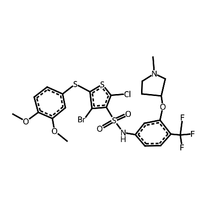 COc1ccc(Sc2sc(Cl)c(S(=O)(=O)Nc3ccc(C(F)(F)F)c(OC4CCN(C)C4)c3)c2Br)cc1OC